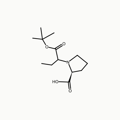 CCC(C(=O)OC(C)(C)C)N1CCC[C@H]1C(=O)O